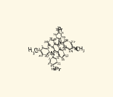 Cc1ccc(N(c2ccc(C(C)C)cc2)c2c3ccccc3c(N(c3ccc(C)cc3)c3ccc(C(C)C)cc3)c3ccccc23)cc1